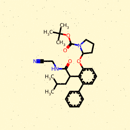 CC(C)CC(C(=O)NCC#N)c1c(OC2CCCN2C(=O)OC(C)(C)C)cccc1-c1ccccc1